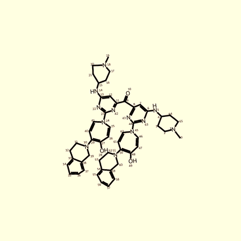 CN1CCC(Nc2cc(C(=O)c3cc(NC4CCN(C)CC4)nc(N4C=CC(O)=C(N5CCc6ccccc6C5)C=C4)n3)nc(N3C=CC(O)=C(N4CCc5ccccc5C4)C=C3)n2)CC1